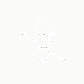 Cl.N[C@@H](CS)C(=O)O[C@H](CO)[C@H](S)CS